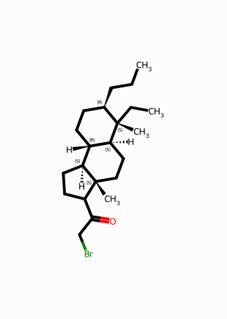 CCC[C@@H]1CC[C@@H]2[C@H](CC[C@]3(C)C(C(=O)CBr)CC[C@@H]23)[C@@]1(C)CC